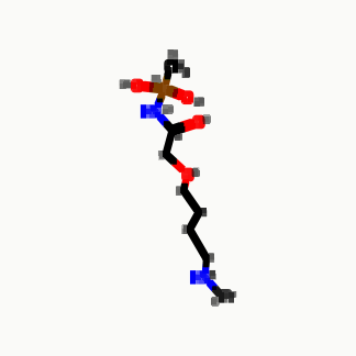 CC(C)NCCCCOCC(=O)NS(C)(=O)=O